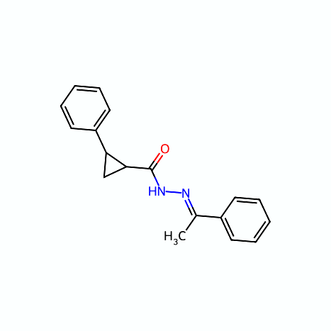 C/C(=N\NC(=O)C1CC1c1ccccc1)c1ccccc1